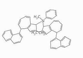 CC1=CC2=C(C=CC=CC2c2cccc3ccccc23)C1[Si](C)(c1ccccc1)C1C(C)=CC2=C1C=CC=CC2c1cccc2ccccc12